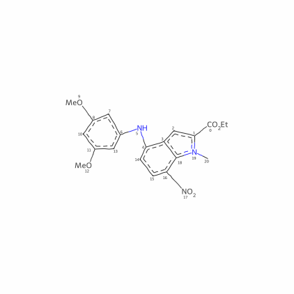 CCOC(=O)c1cc2c(Nc3cc(OC)cc(OC)c3)ccc([N+](=O)[O-])c2n1C